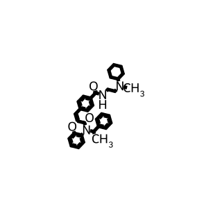 CC(c1ccccc1)N1C(=O)/C(=C\c2ccc(C(=O)NCCN(C)C3CCCCC3)cc2)Oc2ccccc21